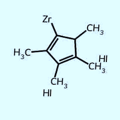 CC1=C(C)C(C)[C]([Zr])=C1C.I.I